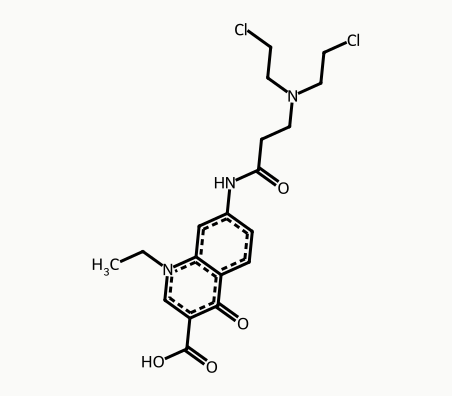 CCn1cc(C(=O)O)c(=O)c2ccc(NC(=O)CCN(CCCl)CCCl)cc21